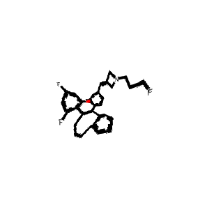 FCCCN1CC(=Cc2ccc(C3=C(c4c(F)cc(F)cc4F)CCCc4ccccc43)cc2)C1